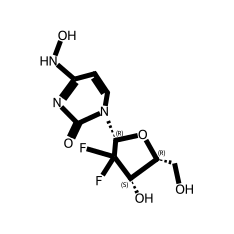 O=c1nc(NO)ccn1[C@@H]1O[C@H](CO)[C@H](O)C1(F)F